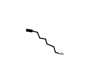 [C]#C[CH]CCCCCCCCC